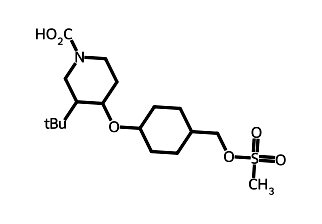 CC(C)(C)C1CN(C(=O)O)CCC1OC1CCC(COS(C)(=O)=O)CC1